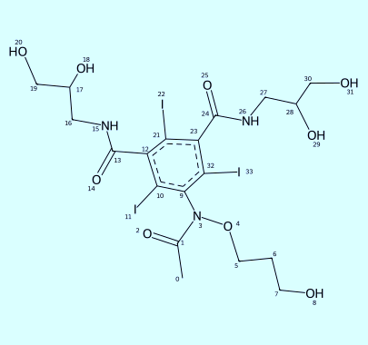 CC(=O)N(OCCCO)c1c(I)c(C(=O)NCC(O)CO)c(I)c(C(=O)NCC(O)CO)c1I